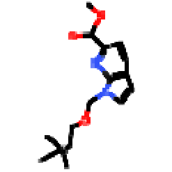 COC(=O)c1ccc2ccn(COCC[Si](C)(C)C)c2n1